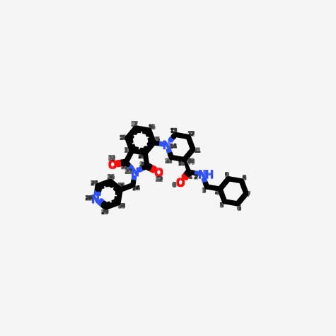 O=C(NCC1CCCCC1)[C@@H]1CCCN(c2cccc3c2C(=O)N(Cc2ccncc2)C3=O)C1